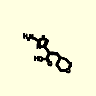 Nc1nc(/C(=C/C2CCOSC2)C(=O)O)cs1